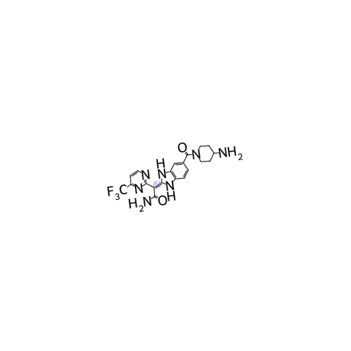 NC(=O)/C(=C1\Nc2ccc(C(=O)N3CCC(N)CC3)cc2N1)c1nccc(C(F)(F)F)n1